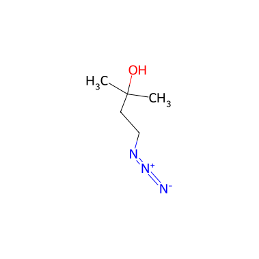 CC(C)(O)CCN=[N+]=[N-]